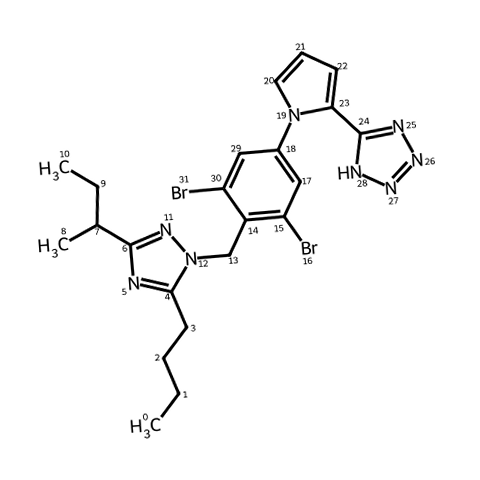 CCCCc1nc(C(C)CC)nn1Cc1c(Br)cc(-n2cccc2-c2nnn[nH]2)cc1Br